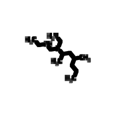 CCCC(C)CC(C)B(CN)CPCC